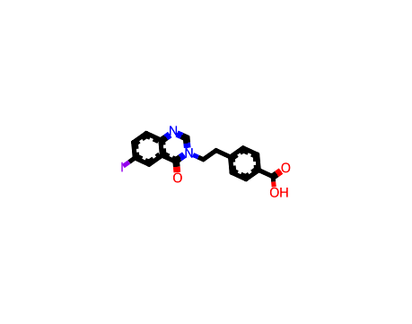 O=C(O)c1ccc(CCn2cnc3ccc(I)cc3c2=O)cc1